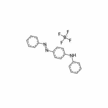 F[B-](F)(F)F.c1ccc(N=Nc2ccc(Nc3ccccc3)cc2)cc1